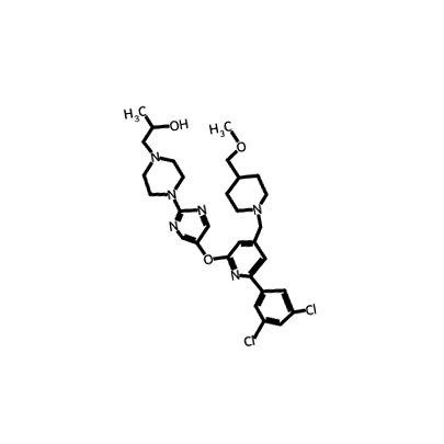 COCC1CCN(Cc2cc(Oc3cnc(N4CCN(CC(C)O)CC4)nc3)nc(-c3cc(Cl)cc(Cl)c3)c2)CC1